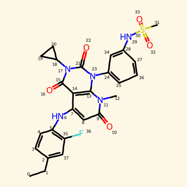 CCc1ccc(Nc2cc(=O)n(C)c3c2c(=O)n(C2CC2)c(=O)n3-c2cccc(NS(C)(=O)=O)c2)c(F)c1